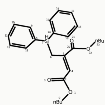 CCCCOC(=O)/C=C(\C[SiH](c1ccccc1)c1ccccc1)C(=O)OCCCC